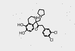 O=C(Cc1ccc(Cl)c(Cl)c1)C1(CN2CCCC2)NCCc2c1ccc(O)c2O